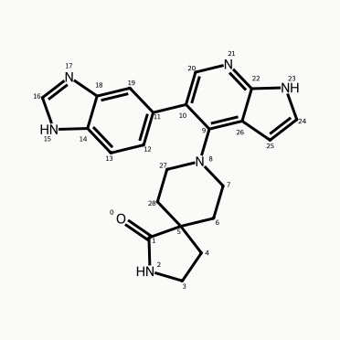 O=C1NCCC12CCN(c1c(-c3ccc4[nH]cnc4c3)cnc3[nH]ccc13)CC2